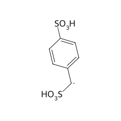 O=S(=O)(O)[CH]c1ccc(S(=O)(=O)O)cc1